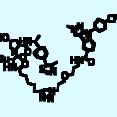 Cc1ncsc1-c1ccc([C@H](C)NC(=O)[C@@H]2C[C@@H](O)CN2C(=O)[C@@H](NC(=O)CCCCCc2cn(CCCOCCCNC(=O)c3ccc4c(c3)c3cn(C)nc3n4-c3ccc(C(F)(F)F)cc3)nn2)C(C)(C)C)cc1